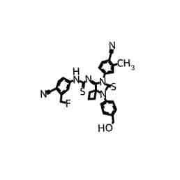 Cc1cc(N2C(=S)N(c3ccc(CO)cc3)C3(CCC3)/C2=N\C(=S)Nc2ccc(C#N)c(CF)c2)ccc1C#N